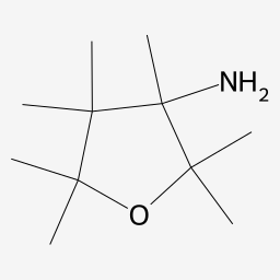 CC1(C)OC(C)(C)C(C)(N)C1(C)C